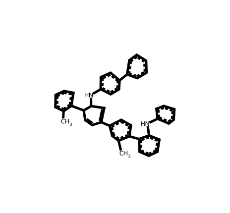 Cc1cc(C2=CC(Nc3ccc(-c4ccccc4)cc3)C(c3ccccc3C)C=C2)ccc1-c1ccccc1Nc1ccccc1